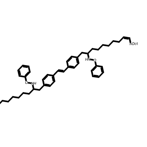 CCCCCCCC/C=C\CCCCCCC(Cc1ccc(C=Cc2ccc(CC(CCCCCC/C=C\CCCCCCCC)NOc3ccccc3)cc2)cc1)NOc1ccccc1